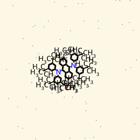 CC(C)(C)c1cc(N(c2cc(C(C)(C)C)cc([Si](C)(C)C)c2)c2c3ccccc3c(N(c3cc(C(C)(C)C)cc(C(C)(C)C)c3)c3cc(C(C)(C)C)cc(C(C)(C)C)c3)c3cc([Si](C)(C)C)ccc23)cc(C(C)(C)C)c1